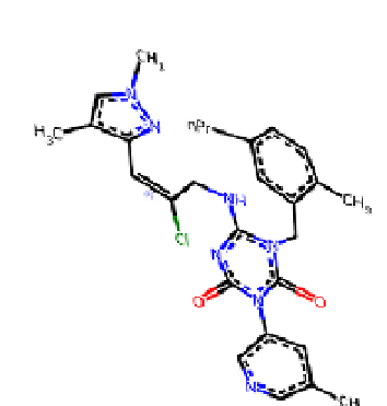 CCCc1ccc(C)c(Cn2c(NC/C(Cl)=C\c3nn(C)cc3C)nc(=O)n(-c3cncc(C)c3)c2=O)c1